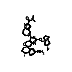 C[C@@H]1CC[C@@]2(Cc3nc(OC[C@@]45CCCN4C[C@H](F)C5)nc(N4CCCn5nc(C(=O)N(C)C)cc5C4)c3CO2)c2cc(N)ccc21